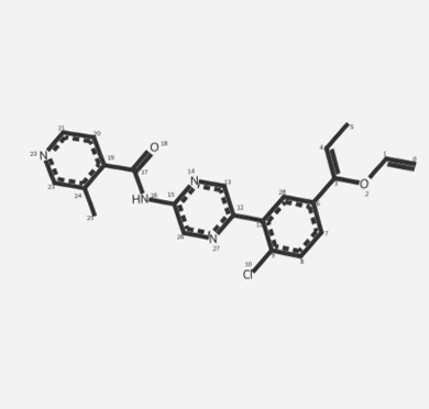 C=CO/C(=C\C)c1ccc(Cl)c(-c2cnc(NC(=O)c3ccncc3C)cn2)c1